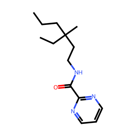 CCCC(C)(CC)CCNC(=O)c1ncccn1